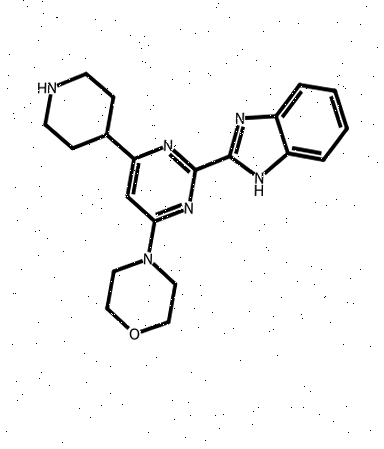 c1ccc2[nH]c(-c3nc(C4CCNCC4)cc(N4CCOCC4)n3)nc2c1